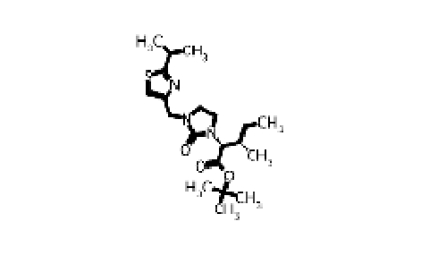 CC[C@H](C)[C@@H](C(=O)OC(C)(C)C)N1CCN(Cc2csc(C(C)C)n2)C1=O